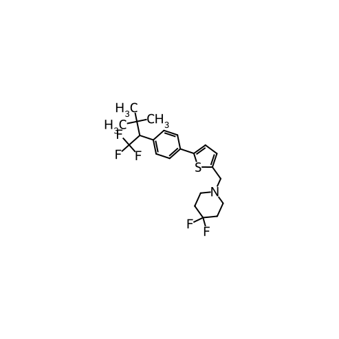 CC(C)(C)C(c1ccc(-c2ccc(CN3CCC(F)(F)CC3)s2)cc1)C(F)(F)F